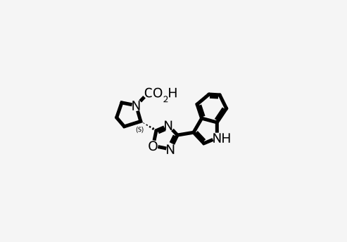 O=C(O)N1CCC[C@H]1c1nc(-c2c[nH]c3ccccc23)no1